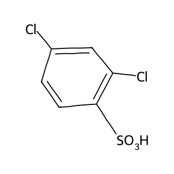 O=S(=O)(O)c1ccc(Cl)cc1Cl